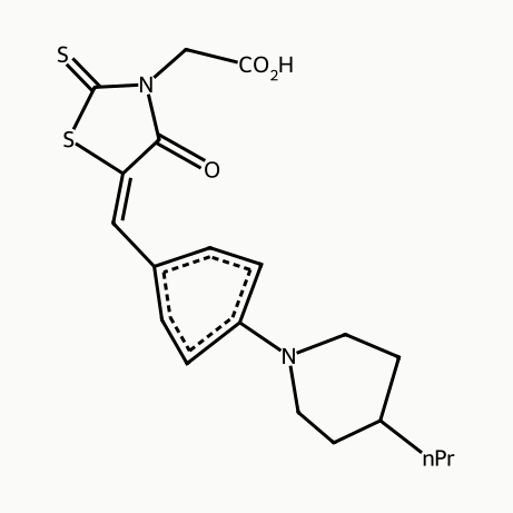 CCCC1CCN(c2ccc(C=C3SC(=S)N(CC(=O)O)C3=O)cc2)CC1